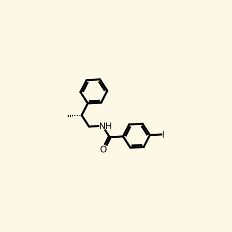 C[C@@H](CNC(=O)c1ccc(I)cc1)c1ccccc1